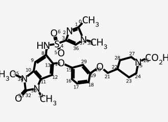 Cc1nc(S(=O)(=O)Nc2cc3c(cc2Oc2cccc(OCC4CCN(C(=O)O)CC4)c2)n(C)c(=O)n3C)cn1C